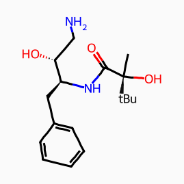 CC(C)(C)[C@@](C)(O)C(=O)N[C@@H](Cc1ccccc1)[C@H](O)CN